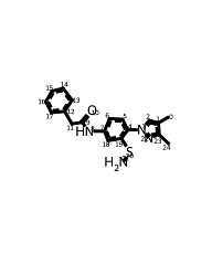 Cc1cn(-c2ccc(NC(=O)Cc3ccccc3)cc2SN)nc1C